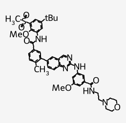 COc1cc(Nc2ncc3cc(-c4cc(C(=O)Nc5cc(C(C)(C)C)cc(S(C)(=O)=O)c5OC)ccc4C)ccc3n2)cc(C(=O)NCCN2CCOCC2)c1